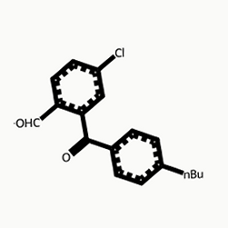 CCCCc1ccc(C(=O)c2cc(Cl)ccc2[C]=O)cc1